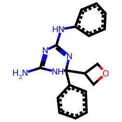 NC1=NC(Nc2ccccc2)=NC(c2ccccc2)(C2COC2)N1